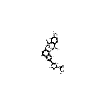 Cc1ccc([N+](=O)[O-])c(S(=O)(=O)Oc2ccc3nc(C4=N[C@@H](C(=O)O)CS4)sc3c2)c1